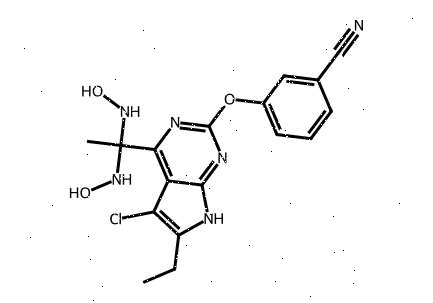 CCc1[nH]c2nc(Oc3cccc(C#N)c3)nc(C(C)(NO)NO)c2c1Cl